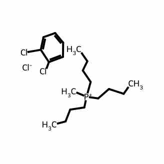 CCCC[P+](C)(CCCC)CCCC.Clc1ccccc1Cl.[Cl-]